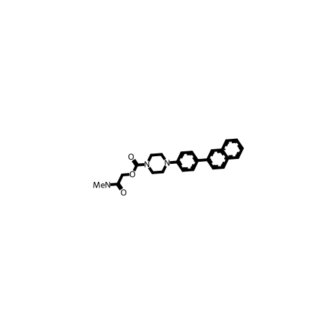 CNC(=O)COC(=O)N1CCN(c2ccc(-c3ccc4ccccc4c3)cc2)CC1